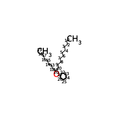 CCCCCCCCCCCC(CCCCCCCC)Oc1ccccc1